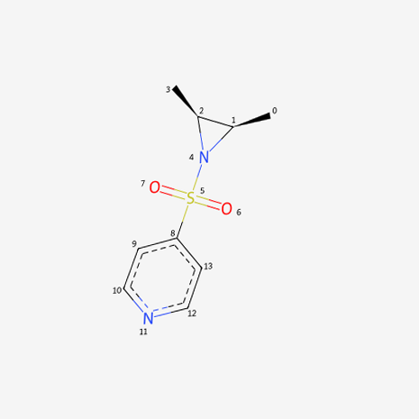 C[C@@H]1[C@H](C)N1S(=O)(=O)c1ccncc1